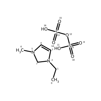 CCN1C=CN(C)C1.O=S(=O)(O)OS(=O)(=O)O